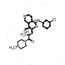 C=C(/C=c1/nc(Nc2cccc(Cl)c2)c2ccncc2/c1=C/C)C(=O)N1CCN(C)CC1